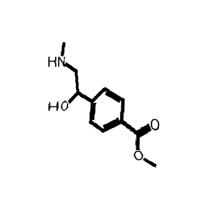 CNCC(O)c1ccc(C(=O)OC)cc1